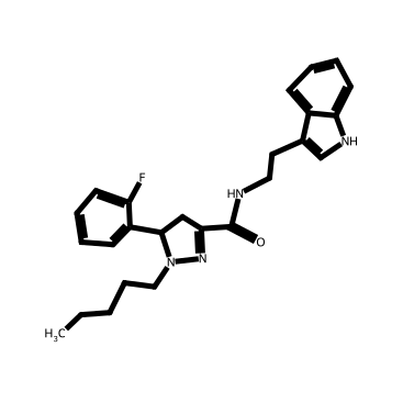 CCCCCN1N=C(C(=O)NCCc2c[nH]c3ccccc23)CC1c1ccccc1F